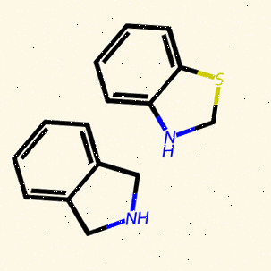 c1ccc2c(c1)CNC2.c1ccc2c(c1)NCS2